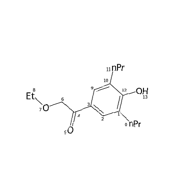 CCCc1cc(C(=O)COCC)cc(CCC)c1O